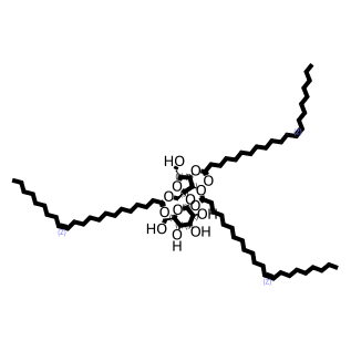 CCCCCCCC/C=C\CCCCCCCCCCCC(=O)OC[C@@]1(O[C@H]2O[C@H](CO)[C@@H](O)[C@H](O)[C@H]2O)O[C@H](CO)[C@@H](OC(=O)CCCCCCCCCCC/C=C\CCCCCCCC)[C@@H]1OC(=O)CCCCCCCCCCC/C=C\CCCCCCCC